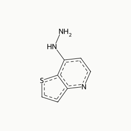 NNc1ccnc2ccsc12